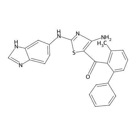 Cc1cccc(-c2ccccc2)c1C(=O)c1sc(Nc2ccc3nc[nH]c3c2)nc1N